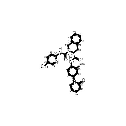 O=C(Nc1ccc(-n2ccccc2=O)cc1F)[C@H]1Cc2ccccc2CN1C(=O)Nc1ccc(Cl)cn1